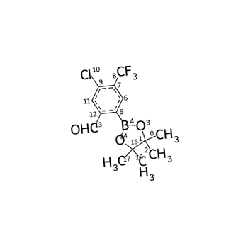 CC1(C)OB(c2cc(C(F)(F)F)c(Cl)cc2C=O)OC1(C)C